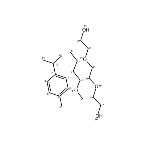 CCCCOC.Cc1ccc(C(C)C)cc1.OCCOCCOCCO